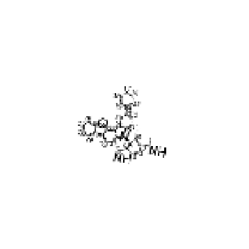 N=Cc1ccc(C=N)c(-n2c3ccc(-c4ccccc4)cc3c3c4oc5ccccc5c4ccc32)c1